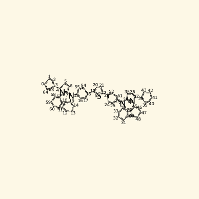 c1ccc(-c2ccc(N(c3ccccc3)c3ccc(-c4ccc(-c5ccc(N(c6ccccc6)c6ccc(-c7ccccc7)n6-c6ccccc6)cc5)s4)cc3)n2-c2ccccc2)cc1